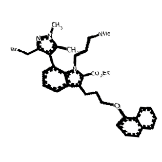 CCOC(=O)c1c(CCCOc2cccc3ccccc23)c2cccc(-c3c(CBr)nn(C)c3C)c2n1CCCNC